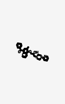 Cc1cc(C(=O)c2ccccc2)c2ccccc2c1OCC(O)CN1CCN(c2ccccn2)CC1